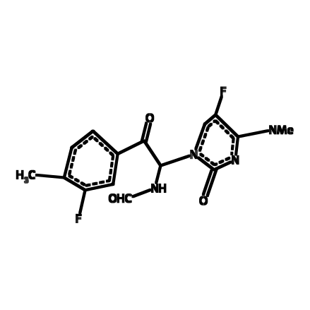 CNc1nc(=O)n(C(NC=O)C(=O)c2ccc(C)c(F)c2)cc1F